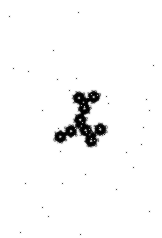 c1ccc(-c2ccc(-n3c4ccc(-c5ccc6c(c5)-c5ccccc5C6c5ccccc5)cc4c4cc5c(cc43)c3ccccc3n5-c3ccccc3)cc2)cc1